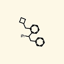 CC(C)[C](Cc1ccccc1)c1ccccc1CC1CCC1